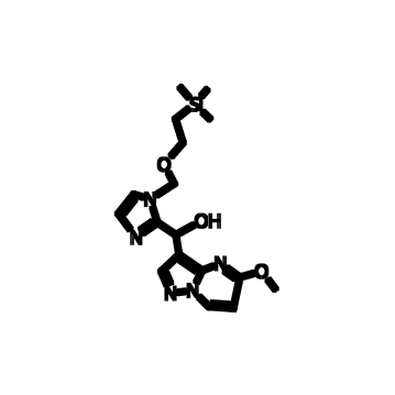 COc1ccn2ncc(C(O)c3nccn3COCC[Si](C)(C)C)c2n1